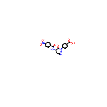 N#CCC(NC(=O)c1ccc([N+](=O)[O-])cc1)C(=O)Nc1ccc(C(=O)O)cc1